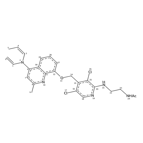 C=CN(/C=C\C)c1cc(C)nc2c(OCc3c(Cl)cnc(NCCNC(C)=O)c3Cl)cccc12